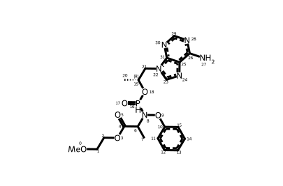 COCCOC(=O)C(C)N(Oc1ccccc1)[PH](=O)O[C@H](C)Cn1cnc2c(N)ncnc21